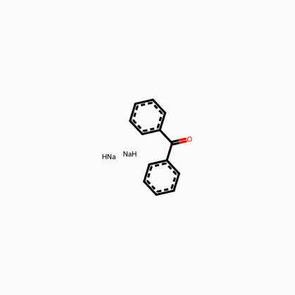 O=C(c1ccccc1)c1ccccc1.[NaH].[NaH]